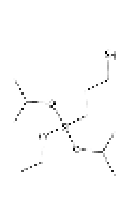 CCO[Si](CCCS)(OC(C)C)OC(C)C